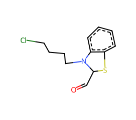 O=CC1Sc2ccccc2N1CCCCCl